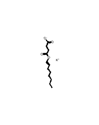 CCCCCCC=COC(=O)CCC(=O)[O-].[K+]